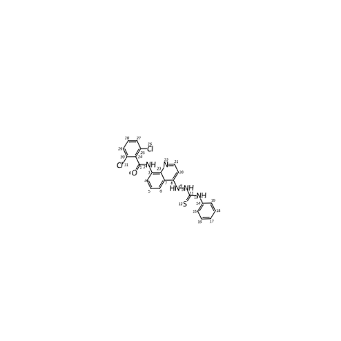 O=C(Nc1cccc2c(NNC(=S)Nc3ccccc3)ccnc12)c1c(Cl)cccc1Cl